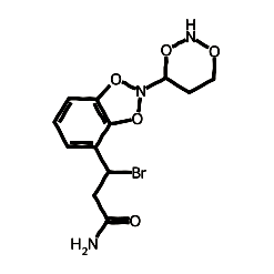 NC(=O)CC(Br)c1cccc2c1ON(C1CCONO1)O2